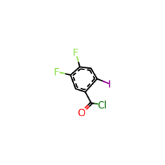 O=C(Cl)c1cc(F)c(F)cc1I